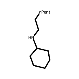 CCCCCCCNC1CCCCC1